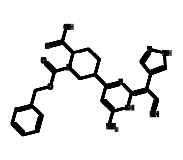 N=C/C(=C1/N=C(C2CCC(C(=O)O)N(C(=O)OCc3ccccc3)C2)C=C(N)N1)c1cn[nH]c1